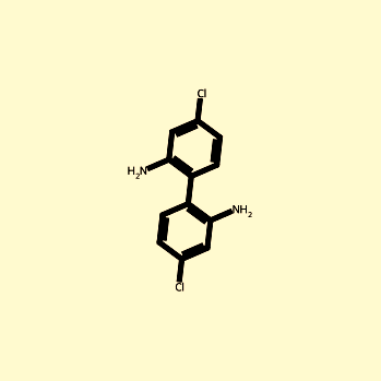 Nc1cc(Cl)ccc1-c1ccc(Cl)cc1N